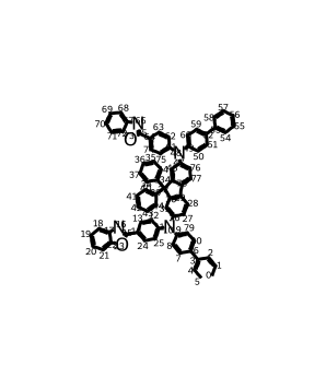 C/C=C\C(=C/C)c1ccc(N(c2ccc(-c3nc4ccccc4o3)cc2)c2ccc3c(c2)C(c2ccccc2)(c2ccccc2)c2cc(N(c4ccc(-c5ccccc5)cc4)c4ccc(-c5nc6ccccc6o5)cc4)ccc2-3)cc1